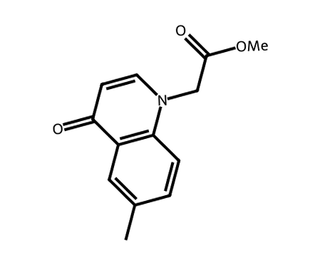 COC(=O)Cn1ccc(=O)c2cc(C)ccc21